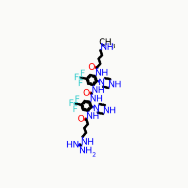 CNCCCCC(=O)Nc1cc(C(F)(F)F)cc(NC(=O)Nc2cc(C(F)(F)F)cc(NC(=O)CCCCNC(=N)N)c2N2CCNCC2)c1N1CCNCC1